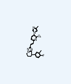 COc1nc(C=Cc2nc3n(n2)CCCC3c2ccc(F)c(C)c2)ccc1-n1cnc(C)c1